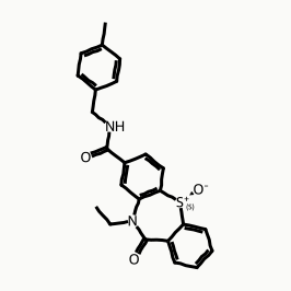 CCN1C(=O)c2ccccc2[S@@+]([O-])c2ccc(C(=O)NCc3ccc(C)cc3)cc21